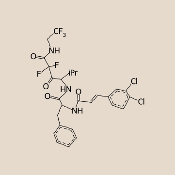 CC(C)C(NC(=O)C(Cc1ccccc1)NC(=O)/C=C/c1ccc(Cl)c(Cl)c1)C(=O)C(F)(F)C(=O)NCC(F)(F)F